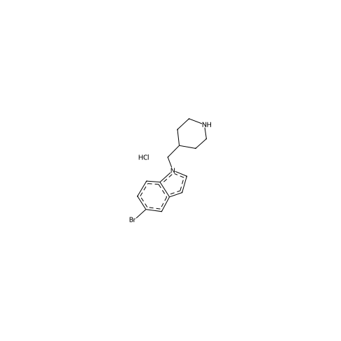 Brc1ccc2c(ccn2CC2CCNCC2)c1.Cl